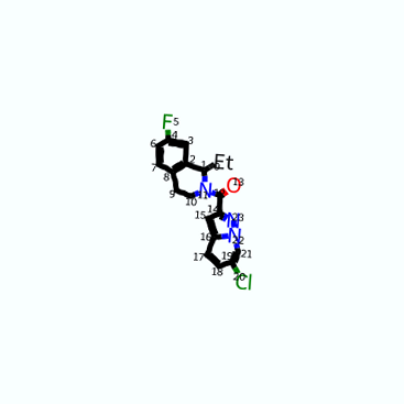 CCC1c2cc(F)ccc2CCN1C(=O)c1cc2ccc(Cl)cn2n1